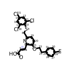 O=C(O)/C=C/c1nc(CSc2c(Cl)cc(Cl)cc2Cl)ccc1OCCc1ccc(F)cc1